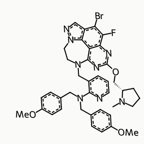 COc1ccc(CN(Cc2ccc(OC)cc2)c2ncccc2CN2CCn3ncc4c(Br)c(F)c5nc(OC[C@@H]6CCCN6C)nc2c5c43)cc1